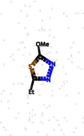 CCc1nnc(OC)s1